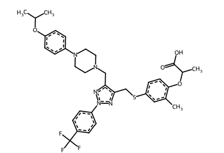 Cc1cc(SCc2nn(-c3ccc(C(F)(F)F)cc3)nc2CN2CCN(c3ccc(OC(C)C)cc3)CC2)ccc1OC(C)C(=O)O